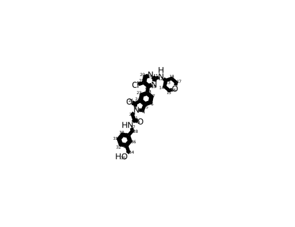 O=C(CN1Cc2ccc(-c3nc(NC4CCOCC4)ncc3Cl)cc2C1=O)NCc1cccc(CO)c1